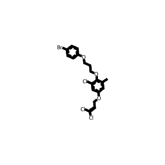 Cc1cc(OCC=C(Cl)Cl)cc(Cl)c1OCCCOc1ccc(Br)cc1